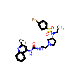 CCN([C@@H]1CCN(CCNC(=O)Nc2cc(C)nc3ccccc23)C1)S(=O)(=O)c1ccc(Br)cc1